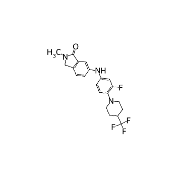 CN1Cc2ccc(Nc3ccc(N4CCC(C(F)(F)F)CC4)c(F)c3)cc2C1=O